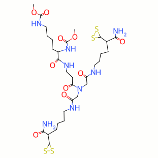 COC(=O)NCCCCC(NC(=O)OC)C(=O)NCCC(=O)N(CC(=O)NCCCCC(C(N)=O)C1SS1)CC(=O)NCCCCC(C(N)=O)C1SS1